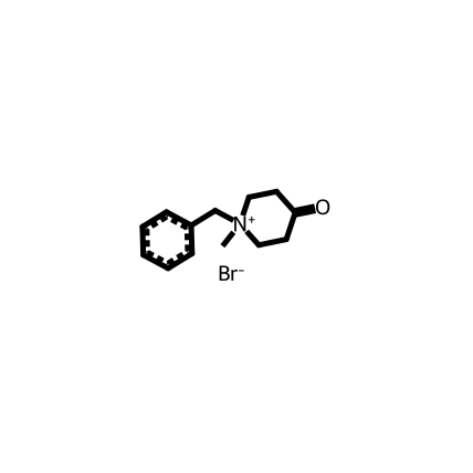 C[N+]1(Cc2ccccc2)CCC(=O)CC1.[Br-]